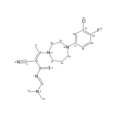 C/C(=C(\C#N)C(=S)/N=C/N(C)C)N1CCCN(c2ccc(F)c(Cl)c2)CC1